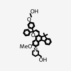 COc1cc2c3c(c4c(c2cc1N1CCCC(CO)C1)-c1ccccc1C4(C)C)C=CC(c1ccccc1)(c1ccc(OCCO)cc1)O3